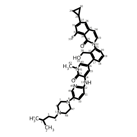 CC(C)CCN1CCN(c2ccc(Nc3cc(-c4cccc(-n5ccc6cc(C7CC7)cc(F)c6c5=O)c4CO)cn(C)c3=O)nc2)CC1